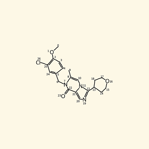 COc1ccc(Cn2c(C)cn3c(C4CCOCC4)ncc3c2=O)cc1Cl